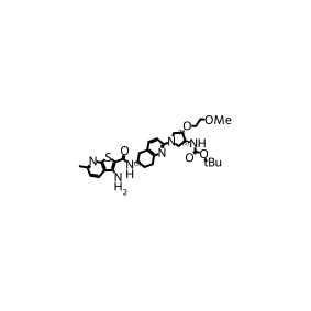 COCCO[C@H]1CN(c2ccc3c(n2)CC[C@H](NC(=O)c2sc4nc(C)ccc4c2N)C3)C[C@@H]1NC(=O)OC(C)(C)C